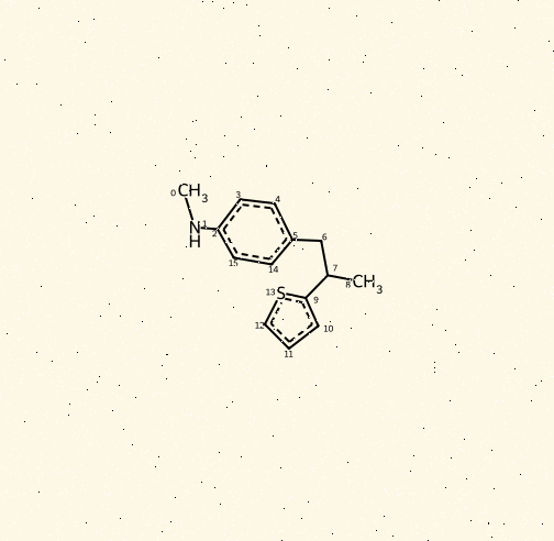 CNc1ccc(CC(C)c2cccs2)cc1